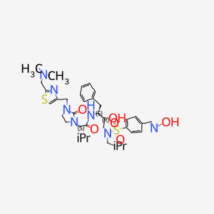 CC(C)CN(C[C@@H](O)[C@H](Cc1ccccc1)NC(=O)[C@H](C(C)C)N1CCN(Cc2csc(CN(C)C)n2)C1=O)S(=O)(=O)c1ccc(C=NO)cc1